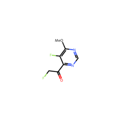 COc1ncnc(C(=O)CF)c1F